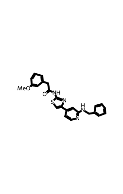 COc1cccc(CC(=O)Nc2nc(-c3ccnc(NCc4ccccc4)c3)cs2)c1